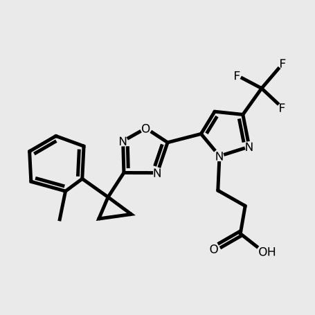 Cc1ccccc1C1(c2noc(-c3cc(C(F)(F)F)nn3CCC(=O)O)n2)CC1